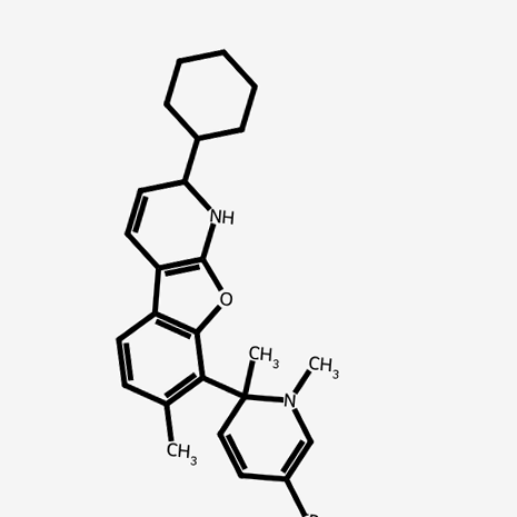 Cc1ccc2c3c(oc2c1C1(C)C=CC(C(C)C)=CN1C)NC(C1CCCCC1)C=C3